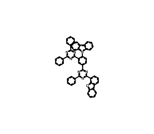 c1ccc(-c2nc(-c3ccccc3)nc(-c3cc(-c4nc(-c5ccccc5)nc(-c5cccc6c5oc5ccccc56)n4)ccc3-n3c4ccccc4c4ccccc43)n2)cc1